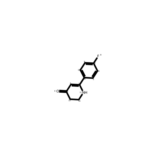 O=C1C=C(c2ccc(F)cc2)NCC1